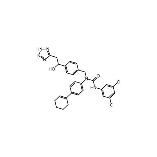 O=C(Nc1cc(Cl)cc(Cl)c1)N(Cc1ccc(C(O)Cc2nn[nH]n2)cc1)c1ccc(C2=CCCCC2)cc1